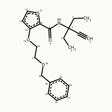 C#CC(CC)(CC)NC(=O)c1sccc1OCCOCc1ccccc1